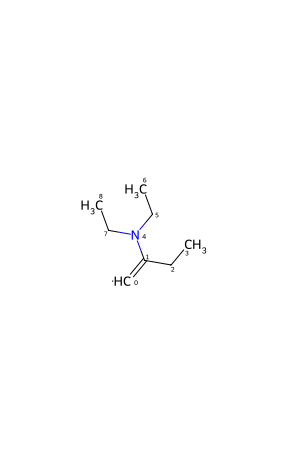 [CH]=C(CC)N(CC)CC